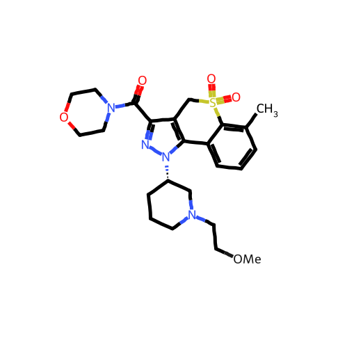 COCCN1CCC[C@H](n2nc(C(=O)N3CCOCC3)c3c2-c2cccc(C)c2S(=O)(=O)C3)C1